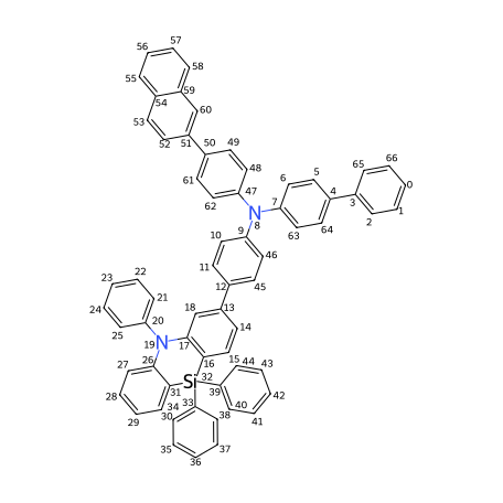 c1ccc(-c2ccc(N(c3ccc(-c4ccc5c(c4)N(c4ccccc4)c4ccccc4[Si]5(c4ccccc4)c4ccccc4)cc3)c3ccc(-c4ccc5ccccc5c4)cc3)cc2)cc1